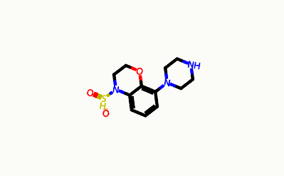 O=[SH](=O)N1CCOc2c(N3CCNCC3)cccc21